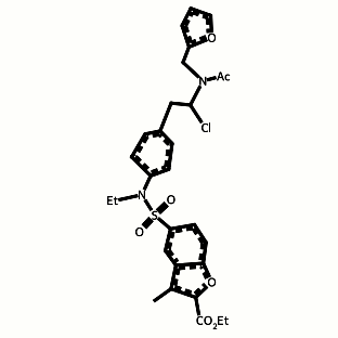 CCOC(=O)c1oc2ccc(S(=O)(=O)N(CC)c3ccc(CC(Cl)N(Cc4ccco4)C(C)=O)cc3)cc2c1C